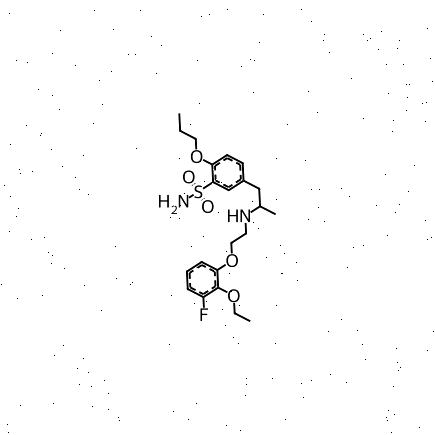 CCCOc1ccc(CC(C)NCCOc2cccc(F)c2OCC)cc1S(N)(=O)=O